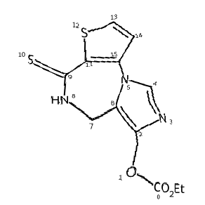 CCOC(=O)Oc1ncn2c1CNC(=S)c1sccc1-2